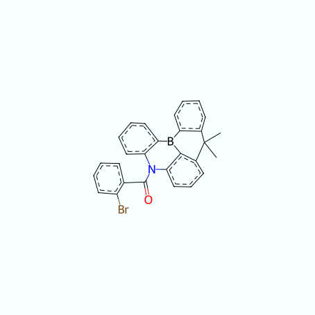 CC1(C)c2ccccc2B2c3ccccc3N(C(=O)c3ccccc3Br)c3cccc1c32